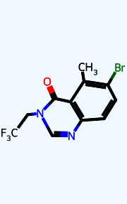 Cc1c(Br)ccc2ncn(CC(F)(F)F)c(=O)c12